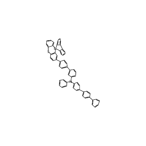 c1ccc(-c2ccc(-c3ccc(N(c4ccccc4)c4cccc(-c5ccc(-c6ccc7c(c6)[Si]6(c8ccccc8S7)c7ccccc7-c7ccccc76)cc5)c4)cc3)cc2)cc1